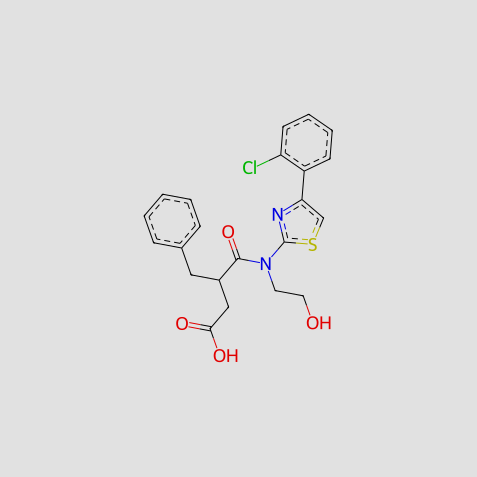 O=C(O)CC(Cc1ccccc1)C(=O)N(CCO)c1nc(-c2ccccc2Cl)cs1